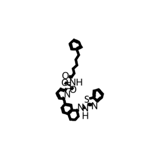 O=C(CCCCCc1ccccc1)NS(=O)(=O)c1cccc(-c2ccc3c(c2)/C(=N/Nc2nc4ccccc4s2)CCC3)n1